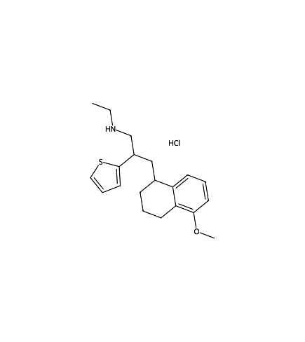 CCNCC(CC1CCCc2c(OC)cccc21)c1cccs1.Cl